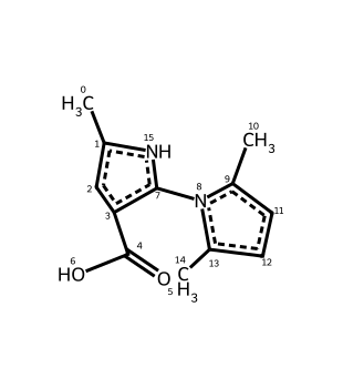 Cc1cc(C(=O)O)c(-n2c(C)ccc2C)[nH]1